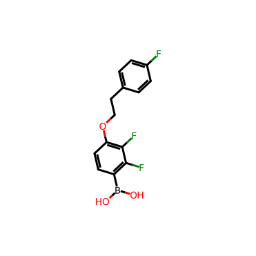 OB(O)c1ccc(OCCc2ccc(F)cc2)c(F)c1F